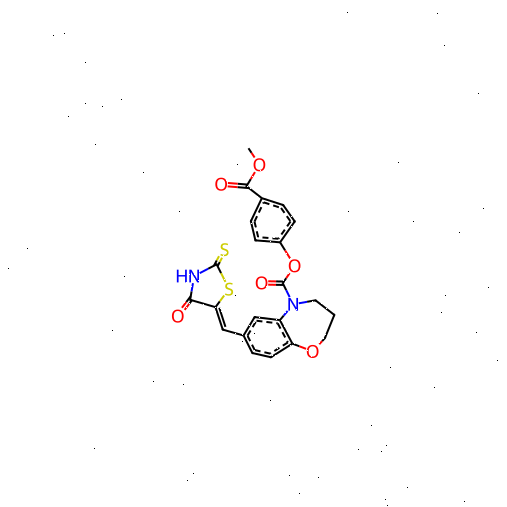 COC(=O)c1ccc(OC(=O)N2CCCOc3ccc(C=C4SC(=S)NC4=O)cc32)cc1